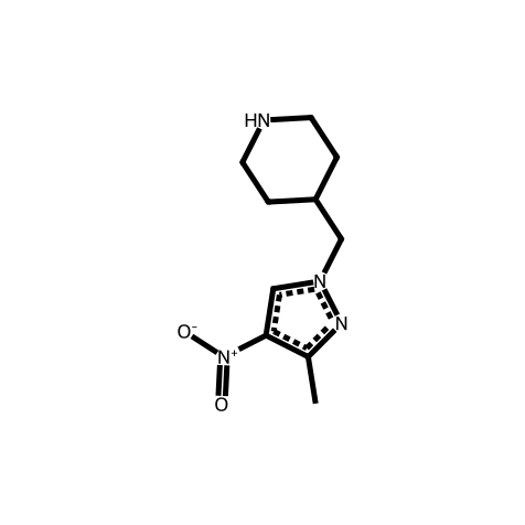 Cc1nn(CC2CCNCC2)cc1[N+](=O)[O-]